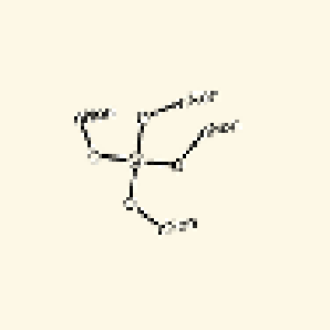 CCCCCCCCC[O][Sn]([O]CCCCCCCCC)([O]CCCCCCCCC)[O]CCCCCCCCC